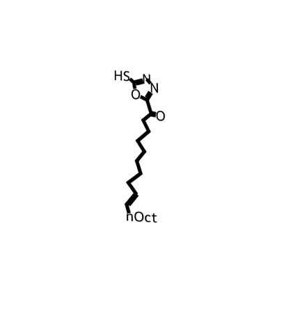 CCCCCCCCC=CCCCCCCCC(=O)c1nnc(S)o1